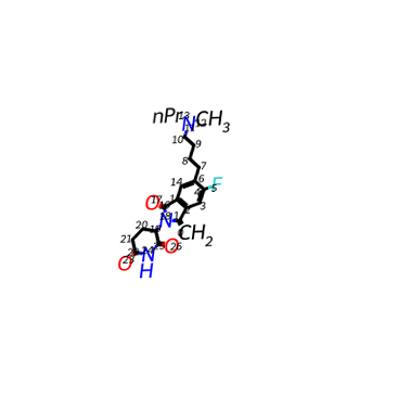 C=C1c2cc(F)c(CCCCN(C)CCC)cc2C(=O)N1C1CCC(=O)NC1=O